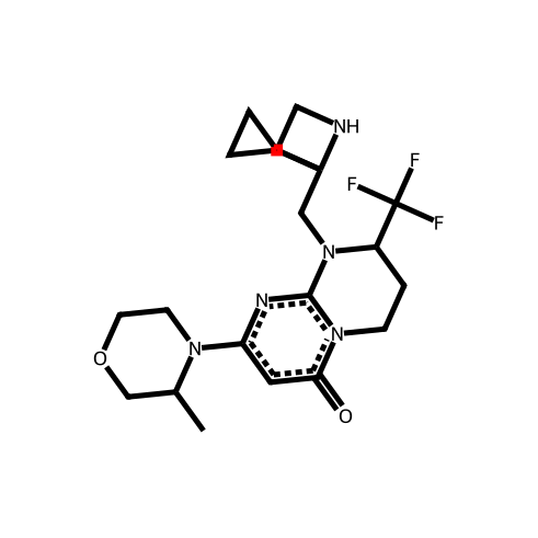 CC1COCCN1c1cc(=O)n2c(n1)N(CC1(C3CC3)CCN1)C(C(F)(F)F)CC2